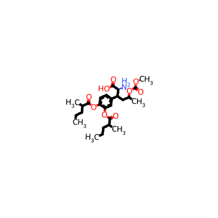 CCCC(C)C(=O)Oc1ccc(C(CC(C)OC(=O)OC)[C@H](N)C(=O)O)cc1OC(=O)C(C)CCC